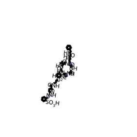 CC(C)=C1NC(=O)[C@@H](Cc2ccc(OCCCNC(=O)c3ccc(N/N=C/c4ccccc4S(=O)(=O)O)nc3)cc2)NC(=O)/C(=C\C(=O)O)NC(=O)CNC(=O)/C(=C/CCNC(=O)NCc2ccccc2)NC1=O